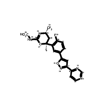 C[C@@]1(c2cc(-c3cc(-c4ccncn4)no3)ccc2F)C[C@@H](C(F)(F)F)N=C(NC(=O)O)O1